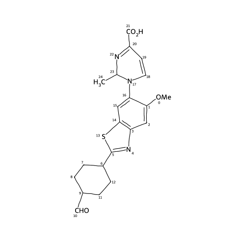 COc1cc2nc(C3CCC(C=O)CC3)sc2cc1N1C=CC(C(=O)O)=NC1C